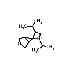 CC(C)C1C=[N+](C(C)C)C12C1COCC12